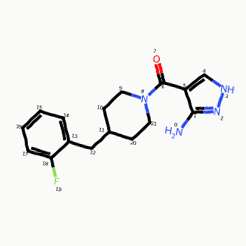 Nc1n[nH]cc1C(=O)N1CCC(Cc2ccccc2F)CC1